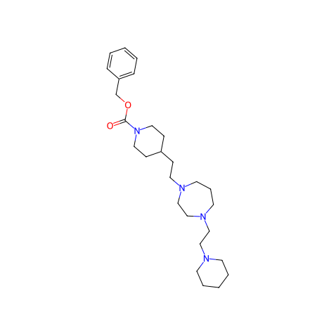 O=C(OCc1ccccc1)N1CCC(CCN2CCCN(CCN3CCCCC3)CC2)CC1